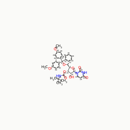 COc1ccc(C(OC[C@H]2O[C@@H](n3ccc(=O)[nH]c3=O)[C@H](O)[C@@H]2OC(=O)NC(C)(C)C)(c2ccccc2)c2ccc(OC)cc2)cc1